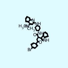 CN(C)c1cc(N[C@H]2CC[C@@H](NC(=O)C(CC(=O)c3ccc(Br)cc3)c3c[nH]c4ccccc34)CC2)nc2ccccc12